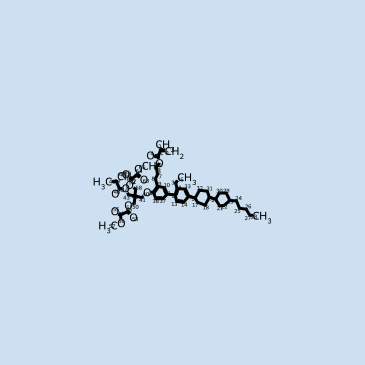 C=C(C)C(=O)OCCCc1cc(-c2ccc(C3CCC(C4CCC(CCCCC)CC4)CC3)cc2CC)ccc1OCC(COC(=O)C(=C)C)(COC(=O)C(=O)OC)COC(=O)C(=O)OC